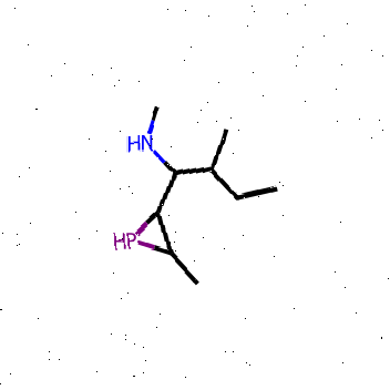 CCC(C)C(NC)C1PC1C